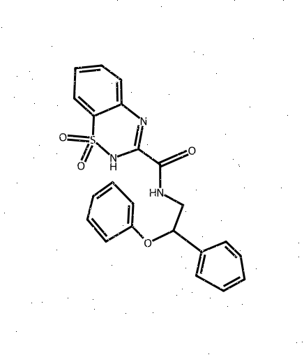 O=C(NCC(Oc1ccccc1)c1ccccc1)C1=Nc2ccccc2S(=O)(=O)N1